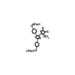 CCCCCOc1ccc(-c2cc(-c3ccc(OCCCCC)cc3)n(-c3n[nH]c(=S)n3N)n2)cc1